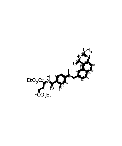 CCOC(=O)CC[C@H](NC(=O)c1ccc(NCc2ccc3ccc4c(c3c2)C(=O)[N]C(C)=N4)cc1F)C(=O)OCC